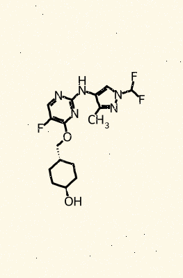 Cc1nn(C(F)F)cc1Nc1ncc(F)c(OC[C@H]2CC[C@H](O)CC2)n1